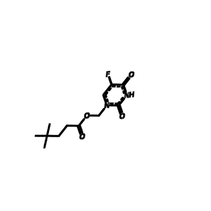 CC(C)(C)CCC(=O)OCn1cc(F)c(=O)[nH]c1=O